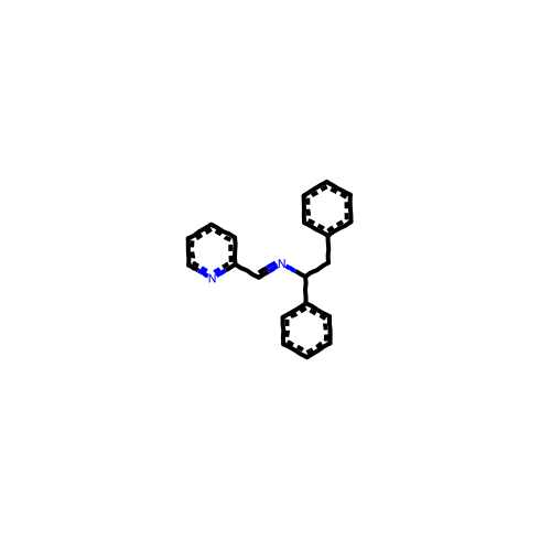 C(=N\C(Cc1ccccc1)c1ccccc1)/c1ccccn1